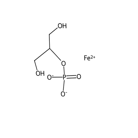 O=P([O-])([O-])OC(CO)CO.[Fe+2]